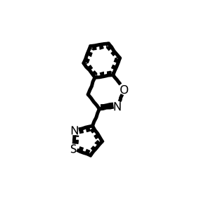 c1ccc2c(c1)CC(c1ccsn1)=NO2